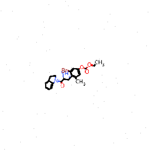 CCOC(=O)Oc1cc(C)c(C[C@H](N)C(=O)N2CCc3ccccc32)c(Br)c1